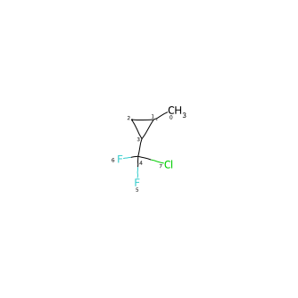 C[C]1CC1C(F)(F)Cl